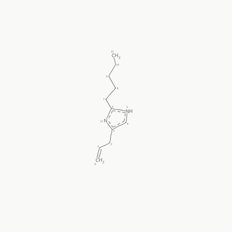 C=CCc1c[nH]c(CCCCC)n1